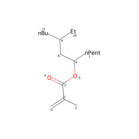 C=C(C)C(=O)OC(CCCCC)CC(CC)CCCC